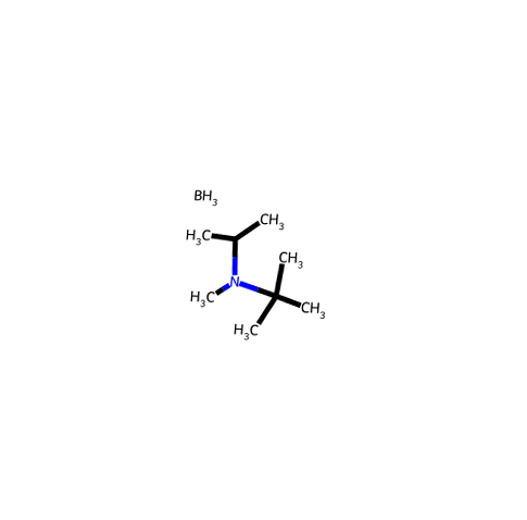 B.CC(C)N(C)C(C)(C)C